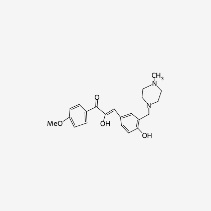 COc1ccc(C(=O)/C(O)=C/c2ccc(O)c(CN3CCN(C)CC3)c2)cc1